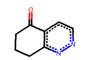 O=C1CCCc2nnccc21